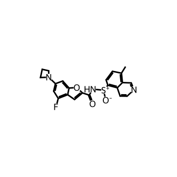 Cc1ccc([S+]([O-])NC(=O)c2cc3c(F)cc(N4CCC4)cc3o2)c2ccncc12